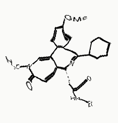 CCNC(=O)C[C@H]1N=C(C2CCCCC2)c2cc(OC)ccc2-c2cn(C)c(=O)cc21